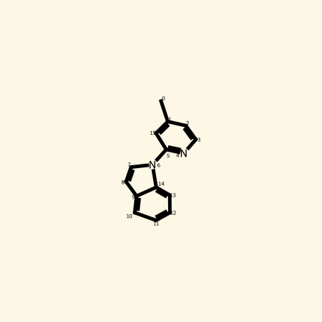 Cc1ccnc(-n2ccc3c[c]ccc32)c1